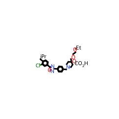 CCOCCOCC1(OC(=O)O)CCN(Cc2ccc(-c3noc(-c4ccc(CC(C)C)c(Cl)c4)n3)cc2)CC1